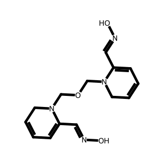 ON=CC1=CC=CCN1COCN1CC=CC=C1C=NO